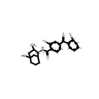 CC1CC2(O)CCCC(C2)[C@@H]1NC(=O)c1ccc(C(=O)c2ccccc2F)cc1F